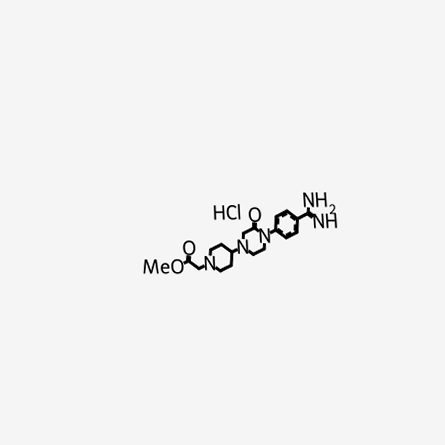 COC(=O)CN1CCC(N2CCN(c3ccc(C(=N)N)cc3)C(=O)C2)CC1.Cl